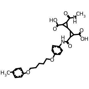 CNC(=O)C1C(C(=O)O)C1C1C(C(=O)O)C1C(=O)Nc1ccc(OCCCCCOc2ccc(C)cc2)cc1